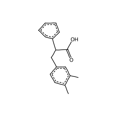 Cc1ccc(CC(C(=O)O)c2ccccc2)cc1C